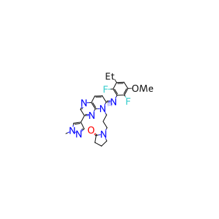 CCc1cc(OC)c(F)c(/N=c2\ccc3ncc(-c4cnn(C)c4)nc3n2CCCN2CCCC2=O)c1F